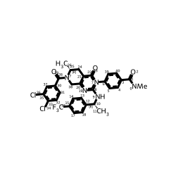 CNC(=O)c1ccc(-n2c(N[C@H](C)c3ccc(C(F)(F)F)cc3)nc3c(c2=O)C[C@@H](C)N(C(=O)c2ccc(Cl)c(Cl)c2)C3)cc1